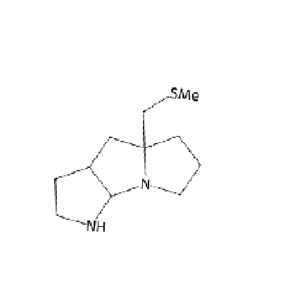 CSCC12CCCN1C1NCCC1C2